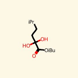 CC(C)CCC(O)(O)C(=O)OCC(C)C